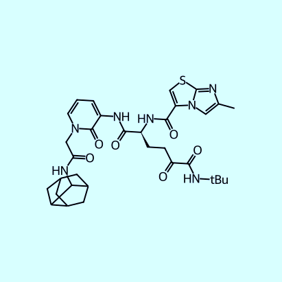 Cc1cn2c(C(=O)N[C@@H](CCC(=O)C(=O)NC(C)(C)C)C(=O)Nc3cccn(CC(=O)NC4C5CC6CC(C5)C4C6)c3=O)csc2n1